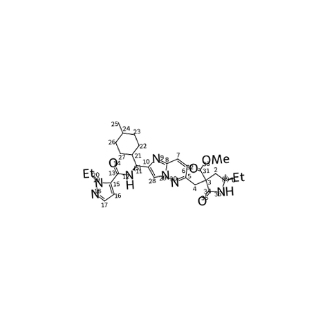 CC[C@@H]1CC(Cc2ccc3nc([C@@H](NC(=O)c4ccnn4CC)C4CCC(C)CC4)cn3n2)(C(=O)OC)C(=O)N1